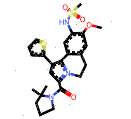 COc1cc2c(cc1NS(C)(=O)=O)-c1c(-c3cccs3)cc(C(=O)N3CCCC3(C)C)n1CC2